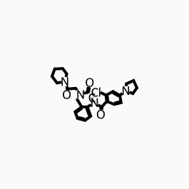 O=C(CN1Cc2ccccc2N(C(=O)c2ccc(N3CCCC3)cc2Cl)CC1=O)N1CCCCC1